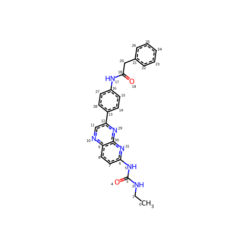 CCNC(=O)Nc1ccc2ncc(-c3ccc(NC(=O)Cc4ccccc4)cc3)nc2n1